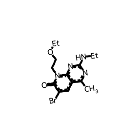 CCNc1nc(C)c2cc(Br)c(=O)n(CCOCC)c2n1